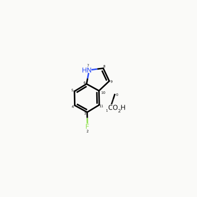 CC(=O)O.Fc1ccc2[nH]ccc2c1